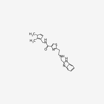 CC1=C(CNC(=O)c2csc(CCNCc3nc4ccccc4[nH]3)n2)C=CC1C